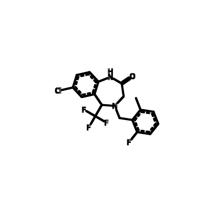 Cc1cccc(F)c1CN1CC(=O)Nc2ccc(Cl)cc2C1C(F)(F)F